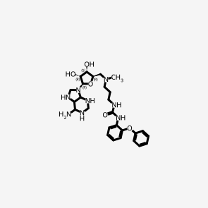 CN(CCCNC(=O)Nc1ccccc1Oc1ccccc1)C[C@H]1O[C@@H](N2CNC3C(N)NCNC32)[C@H](O)[C@@H]1O